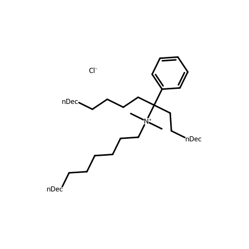 CCCCCCCCCCCCCCCC[N+](C)(C)C(CCCCCCCCCCCC)(CCCCCCCCCCCCCC)c1ccccc1.[Cl-]